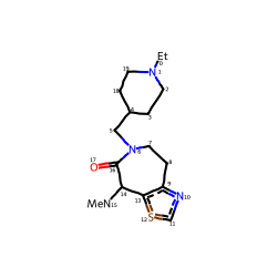 CCN1CCC(CN2CCc3ncsc3C(NC)C2=O)CC1